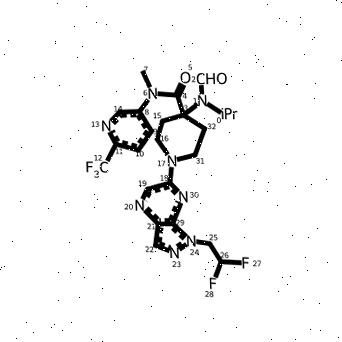 CC(C)N(C=O)C1(C(=O)N(C)c2ccc(C(F)(F)F)nc2)CCN(c2cnc3cnn(CC(F)F)c3n2)CC1